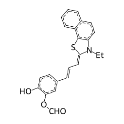 CCN1/C(=C/C=C/c2ccc(O)c(OC=O)c2)Sc2c1ccc1ccccc21